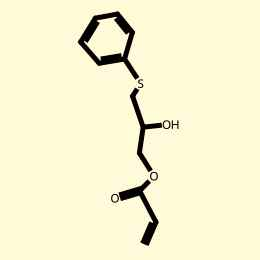 C=CC(=O)OCC(O)CSc1ccccc1